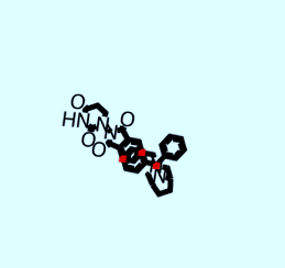 O=C1CCN(N2C(=O)c3ccc(CN4CC5CCC(C4)N5C(c4ccccc4)c4ccccc4)cc3C2=O)C(=O)N1